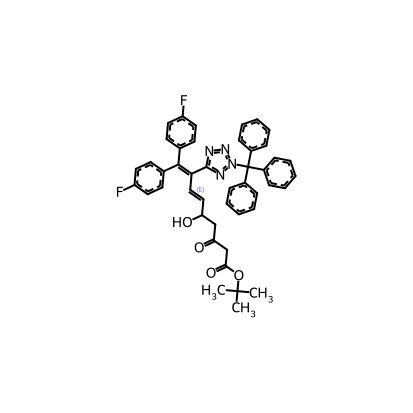 CC(C)(C)OC(=O)CC(=O)CC(O)/C=C/C(=C(c1ccc(F)cc1)c1ccc(F)cc1)c1nnn(C(c2ccccc2)(c2ccccc2)c2ccccc2)n1